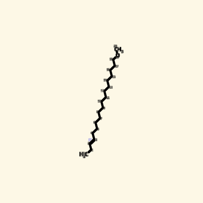 CC/C=C/CCCCCCCCCCCCCCCOC